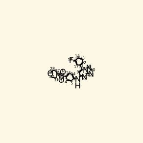 O=S(=O)(c1ccc(Nc2cc(-c3cccc(F)c3)n3ncnc3n2)cc1)N1CCOCC1